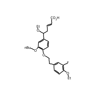 CCCCOc1cc(C(CC=CC(=O)O)OCC)ccc1OCCc1ccc(OCC)c(F)c1